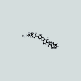 C[C@H]1CC2(CCN(c3cnc(Sc4cccc(NC(=O)c5cc6n(n5)CCC6)c4Cl)cn3)CC2)CO1